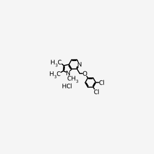 Cc1c(C)n(C)c2c(COc3ccc(Cl)c(Cl)c3)nccc12.Cl